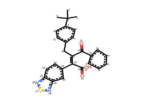 CC(C)(C)c1ccc(CC(C(=O)c2ccccc2)=C(C(=O)O)c2ccc3nsnc3c2)cc1